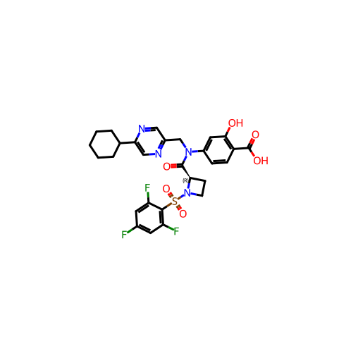 O=C(O)c1ccc(N(Cc2cnc(C3CCCCC3)cn2)C(=O)[C@H]2CCN2S(=O)(=O)c2c(F)cc(F)cc2F)cc1O